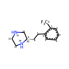 FC(F)(F)c1ccccc1CC[C@H]1CNCCN1